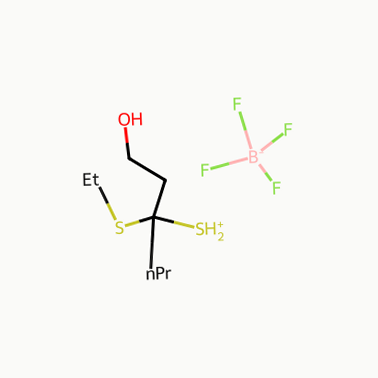 CCCC([SH2+])(CCO)SCC.F[B-](F)(F)F